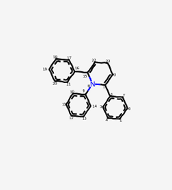 C1=C(c2ccccc2)N(c2ccccc2)C(c2ccccc2)=CC1